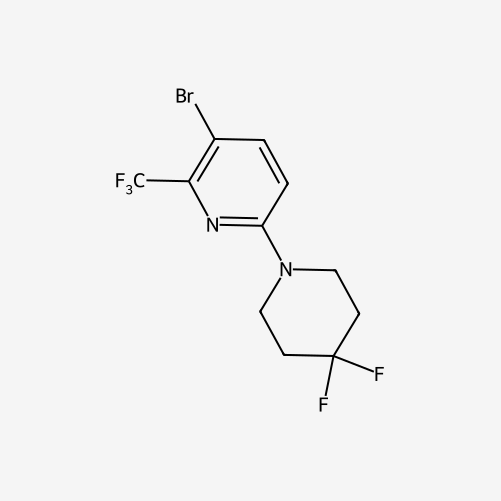 FC1(F)CCN(c2ccc(Br)c(C(F)(F)F)n2)CC1